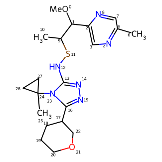 COC(c1cnc(C)cn1)C(C)SNc1nnc(C2CCCOC2)n1C1(C)CC1